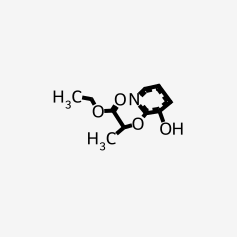 CCOC(=O)C(C)Oc1ncccc1O